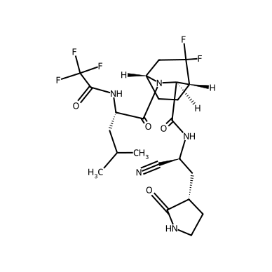 CC(C)C[C@H](NC(=O)C(F)(F)F)C(=O)N1[C@@H]2CC[C@H]([C@H]1C(=O)N[C@H](C#N)C[C@@H]1CCNC1=O)C(F)(F)C2